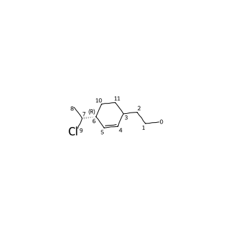 CCCC1C=C[C@H](C(C)Cl)CC1